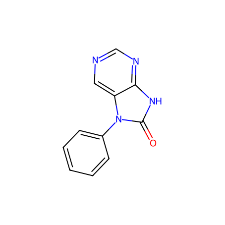 O=c1[nH]c2ncncc2n1-c1ccccc1